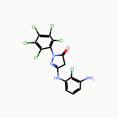 Nc1cccc(NC2=NN(c3c(Cl)c(Cl)c(Cl)c(Cl)c3Cl)C(=O)C2)c1Cl